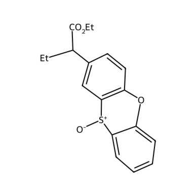 CCOC(=O)C(CC)c1ccc2c(c1)[S+]([O-])c1ccccc1O2